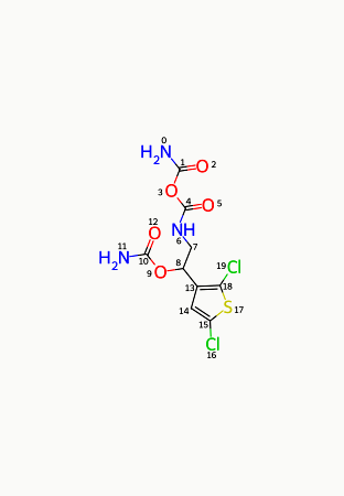 NC(=O)OC(=O)NCC(OC(N)=O)c1cc(Cl)sc1Cl